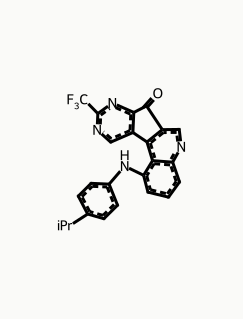 CC(C)c1ccc(Nc2cccc3ncc4c(c23)-c2cnc(C(F)(F)F)nc2C4=O)cc1